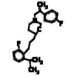 C=C(CN1CCC(CCCc2c(F)cccc2C(=C)C)CC1)c1ccc(F)cc1